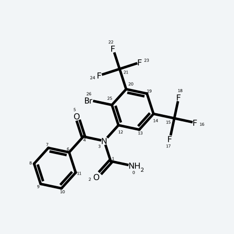 NC(=O)N(C(=O)c1ccccc1)c1cc(C(F)(F)F)cc(C(F)(F)F)c1Br